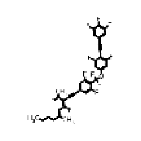 C=C(F)/C(C#Cc1cc(F)c(C(F)(F)Oc2cc(F)c(C#Cc3cc(F)c(F)c(F)c3)c(F)c2)c(F)c1)=C(F)\C=C(/C)CCCC